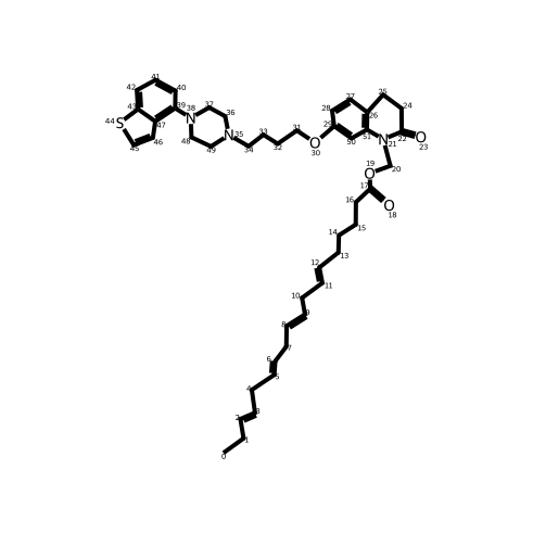 CCC=CCC=CCC=CCC=CCCCCC(=O)OCN1C(=O)CCc2ccc(OCCCCN3CCN(c4cccc5sccc45)CC3)cc21